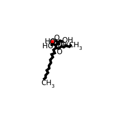 CCCCCCCCCCCCCCC(C(=O)CCCCC)C(C(=O)O)C(O)(CC(=O)O)C(=O)O